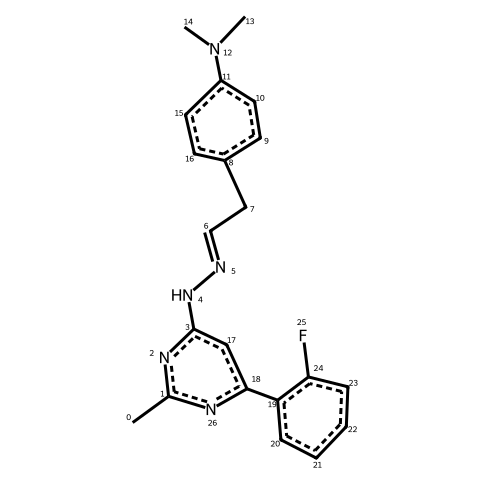 Cc1nc(NN=CCc2ccc(N(C)C)cc2)cc(-c2ccccc2F)n1